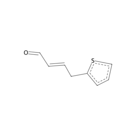 O=CC=CCc1cccs1